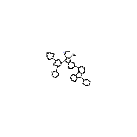 C=Nc1c(/C=C\C)n(-c2cc(-c3ccccn3)nc(-c3ccccn3)c2)c2ccc(-c3cccc4c3c3ccccc3n4-c3ccccc3)cc12